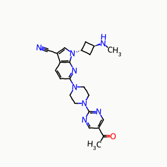 CN[C@H]1C[C@H](n2cc(C#N)c3ccc(N4CCN(c5ncc(C(C)=O)cn5)CC4)nc32)C1